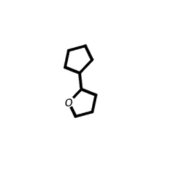 C1CCC(C2CCCO2)C1